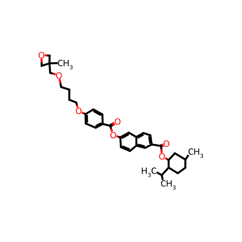 CC1CCC(C(C)C)C(OC(=O)c2ccc3cc(OC(=O)c4ccc(OCCCCOCC5(C)COC5)cc4)ccc3c2)C1